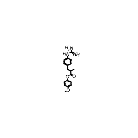 COc1ccc(OC(=O)C(C)Cc2ccc(NC(=N)N)cc2)cc1